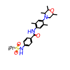 Cc1cc(N2CC(C)OC(C)C2C)c(C)cc1NC(=O)c1ccc(NS(=O)(=O)C(C)C)cc1